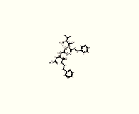 CC(C)[C@H](N)C(=O)N(C(=O)CCc1ccccc1)[C@@H](C)C(=O)NC(CC(=O)O)C(=O)CCCc1ccccc1